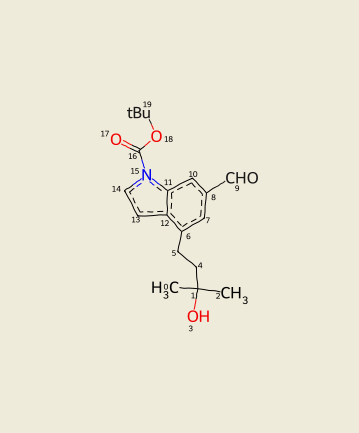 CC(C)(O)CCc1cc(C=O)cc2c1ccn2C(=O)OC(C)(C)C